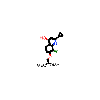 COC(COc1ccc2c(O)cc(C3CC3)nc2c1Cl)OC